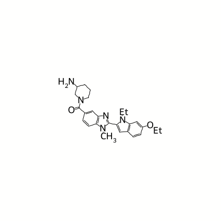 CCOc1ccc2cc(-c3nc4cc(C(=O)N5CCCC(N)C5)ccc4n3C)n(CC)c2c1